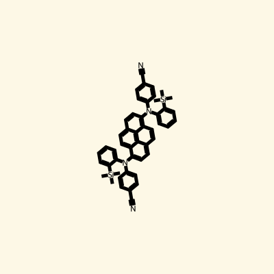 C[Si](C)(C)c1ccccc1N(c1ccc(C#N)cc1)c1ccc2ccc3c(N(c4ccc(C#N)cc4)c4ccccc4[Si](C)(C)C)ccc4ccc1c2c43